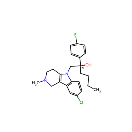 CCCC[C@](O)(Cn1c2c(c3cc(Cl)ccc31)CN(C)CC2)c1ccc(F)cc1